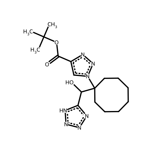 CC(C)(C)OC(=O)c1cn(C2(C(O)c3nnn[nH]3)CCCCCCC2)nn1